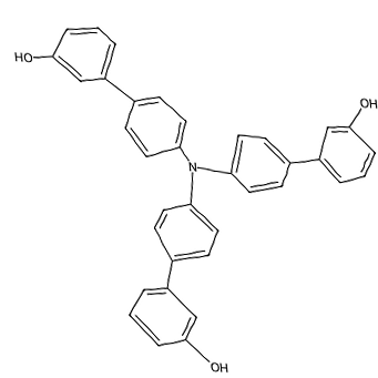 Oc1cccc(-c2ccc(N(c3ccc(-c4cccc(O)c4)cc3)c3ccc(-c4cccc(O)c4)cc3)cc2)c1